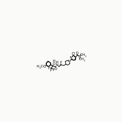 COc1cccc([C@@](O)(C(=O)NC[C@@H](F)CC2CCN(c3ccc(C(=O)N(C)C)c(Cl)n3)CC2)C(F)(F)F)c1